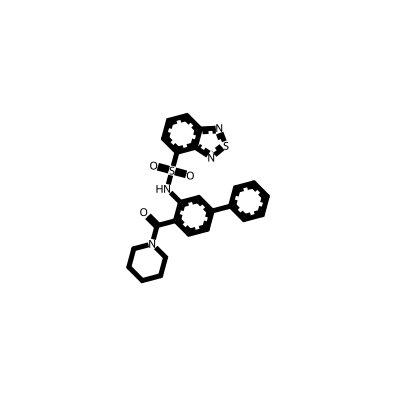 O=C(c1ccc(-c2ccccc2)cc1NS(=O)(=O)c1cccc2nsnc12)N1CCCCC1